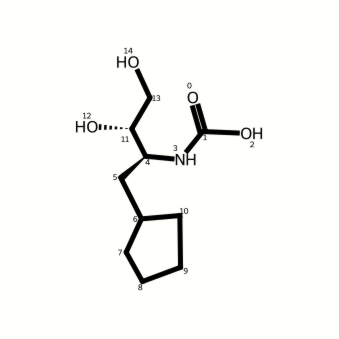 O=C(O)N[C@@H](CC1CCCC1)[C@H](O)CO